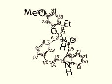 CC/C(=C/C(=O)[C@@H]1Cc2cccc(c2)C/C=C/c2[nH]c3ccccc3c2CC(=O)N1)c1ccc(OC)cc1